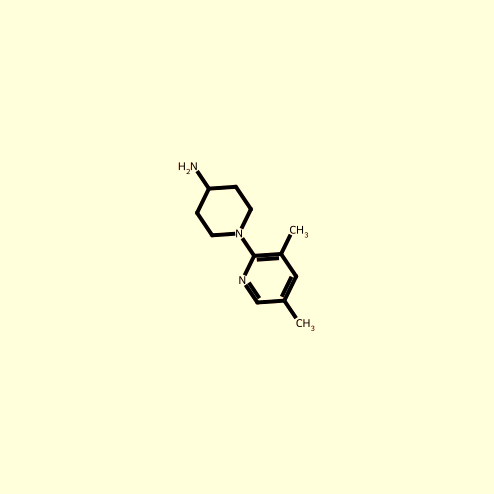 Cc1cnc(N2CCC(N)CC2)c(C)c1